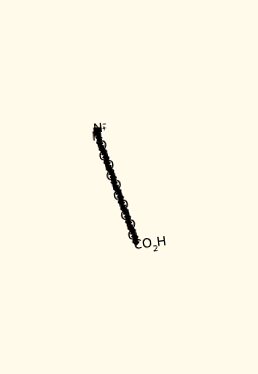 [N-]=[N+]=NCCOCCOCCOCCOCCOCCOCCOCCOCCOCCOCCC(=O)O